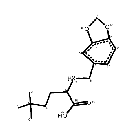 CC(C)(C)CCC(NCc1ccc2c(c1)OCO2)C(=O)O